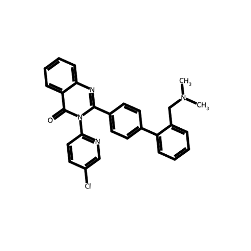 CN(C)Cc1ccccc1-c1ccc(-c2nc3ccccc3c(=O)n2-c2ccc(Cl)cn2)cc1